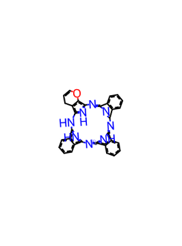 C1=COc2c3[nH]c(c2C1)Nc1[nH]c(c2ccccc12)/N=c1\[nH]c(c2ccccc12)=NC1=NC(=N3)c2ccccc21